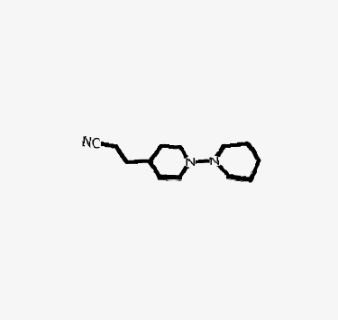 N#CCCC1CCN(N2CCCCC2)CC1